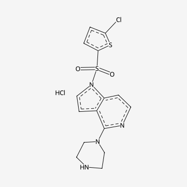 Cl.O=S(=O)(c1ccc(Cl)s1)n1ccc2c(N3CCNCC3)nccc21